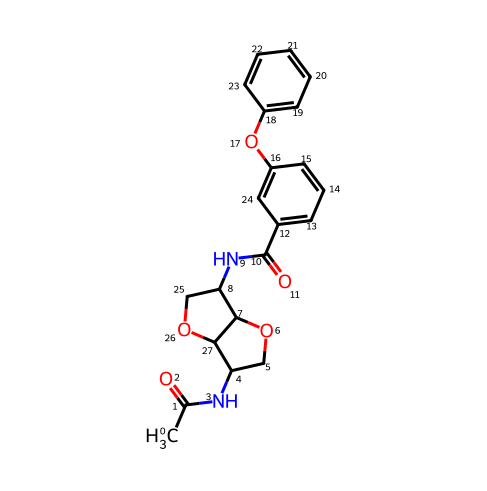 CC(=O)NC1COC2C(NC(=O)c3cccc(Oc4ccccc4)c3)COC12